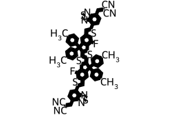 Cc1ccc(C2(c3ccc(C)cc3)c3cc4cc(-c5ccc(C=C(C#N)C#N)c6nsnc56)sc4c(F)c3-c3sc4c5c(sc4c32)-c2c(cc3cc(-c4ccc(C=C(C#N)C#N)c6nsnc46)sc3c2F)C5(c2ccc(C)cc2)c2ccc(C)cc2)cc1